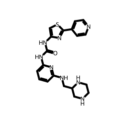 O=C(Nc1cccc(NCC2CNCCN2)n1)Nc1csc(-c2ccncc2)n1